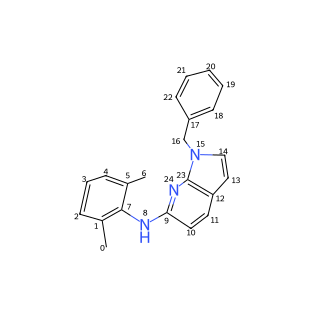 Cc1cccc(C)c1Nc1ccc2ccn(Cc3ccccc3)c2n1